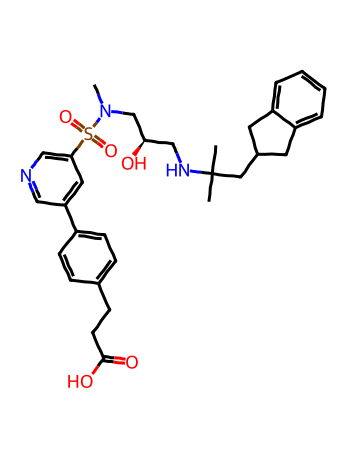 CN(C[C@H](O)CNC(C)(C)CC1Cc2ccccc2C1)S(=O)(=O)c1cncc(-c2ccc(CCC(=O)O)cc2)c1